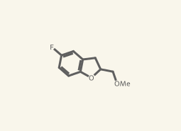 COCC1Cc2cc(F)ccc2O1